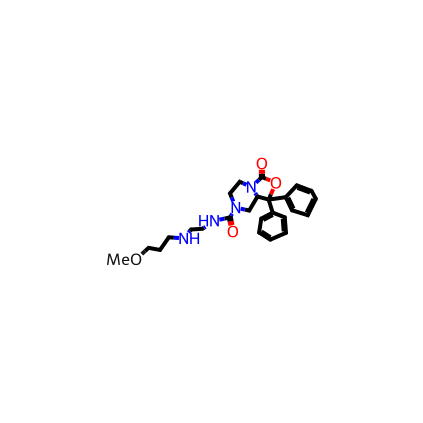 COCCCNCCNC(=O)N1CCN2C(=O)OC(c3ccccc3)(c3ccccc3)C2C1